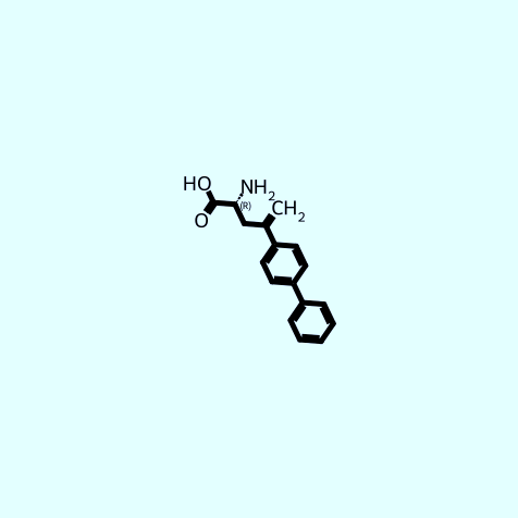 C=C(C[C@@H](N)C(=O)O)c1ccc(-c2ccccc2)cc1